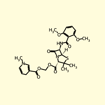 COc1cccc(OC)c1C(=O)N[C@@H]1C(=O)N2[C@@H]1SC(C)(C)[C@@H]2C(=O)OCOC(=O)C1=CN(C)C=CC1